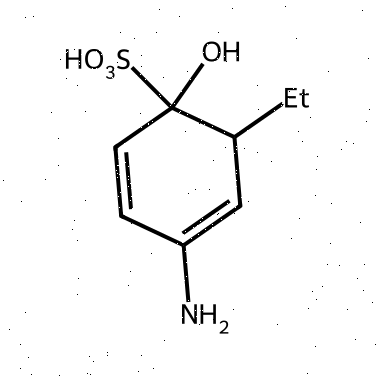 CCC1C=C(N)C=CC1(O)S(=O)(=O)O